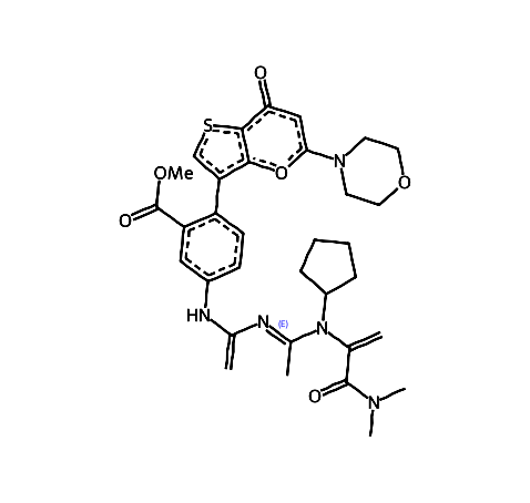 C=C(/N=C(\C)N(C(=C)C(=O)N(C)C)C1CCCC1)Nc1ccc(-c2csc3c(=O)cc(N4CCOCC4)oc23)c(C(=O)OC)c1